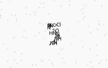 C=CN/C=C(/CNc1cc(NC(=O)[C@H]2C[C@@H]2c2cc(Cl)ccc2-n2cnnn2)ncn1)N(C)C